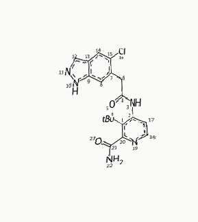 CC(C)(C)c1c(NC(=O)Cc2cc3[nH]ncc3cc2Cl)ccnc1C(N)=O